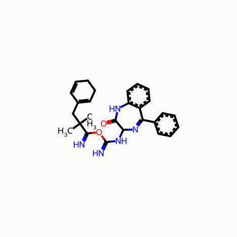 CC(C)(CC1=CCCC=C1)C(=N)OC(=N)NC1N=C(c2ccccc2)c2ccccc2NC1=O